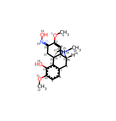 COC1=C[C@H]2[C@H]3Cc4ccc(OC)c(O)c4[C@@]2(CCN3C)C/C1=N/O